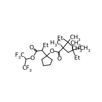 CCC(C(=O)OC(C(F)(F)F)C(F)(F)F)C1(OC(=O)C(C)(CC(C)(C)CC)C(C)(C)CC)CCCC1